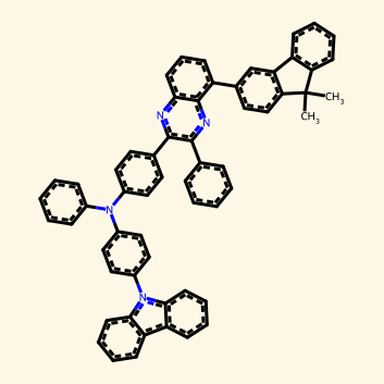 CC1(C)c2ccccc2-c2cc(-c3cccc4nc(-c5ccc(N(c6ccccc6)c6ccc(-n7c8ccccc8c8ccccc87)cc6)cc5)c(-c5ccccc5)nc34)ccc21